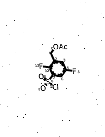 CC(=O)OCc1cc(F)cc(S(=O)(=O)Cl)c1F